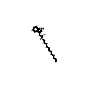 CCCCCCCCCCCCNC(=O)Cc1c[nH]c2ccccc12